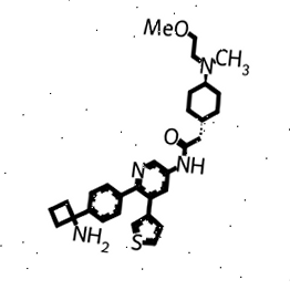 COCCN(C)[C@H]1CC[C@H](CC(=O)Nc2cnc(-c3ccc(C4(N)CCC4)cc3)c(-c3ccsc3)c2)CC1